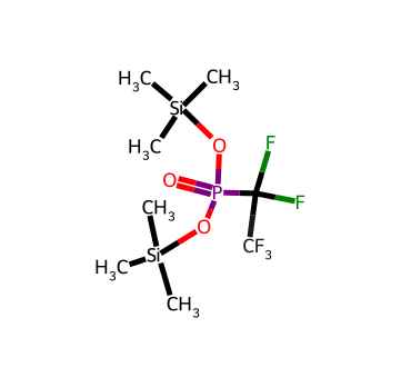 C[Si](C)(C)OP(=O)(O[Si](C)(C)C)C(F)(F)C(F)(F)F